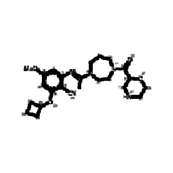 COc1cc(/N=C(\C)N2CCCN(C(=O)C3CNCCO3)CC2)c(C#N)c(OC2CCC2)c1